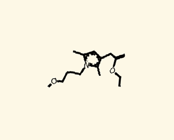 C=C(Cc1cc(C)n(CCCOC)c1C)OCC